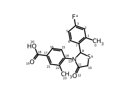 Cc1cc(F)ccc1C1SCC(=O)N1c1ccc(C(=O)O)cc1C